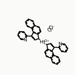 C1=C(c2ccccn2)c2c(ccc3ccccc23)[CH]1[Hf+2][CH]1C=C(c2ccccn2)c2c1ccc1ccccc21.[Cl-].[Cl-]